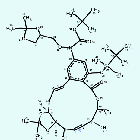 C[C@@H]1/C=C\C(O)[C@H]2OC(C)(C)O[C@H]2C/C=C/c2cc(N(OCC3COC(C)(C)O3)C(=O)OC(C)(C)C)cc(O[Si](C)(C)C(C)(C)C)c2C(=O)O[C@H]1C